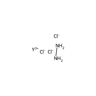 NN.[Cl-].[Cl-].[Cl-].[Y+3]